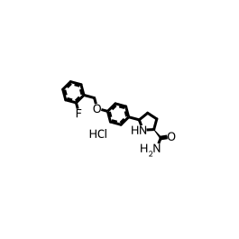 Cl.NC(=O)[C@@H]1CCC(c2ccc(OCc3ccccc3F)cc2)N1